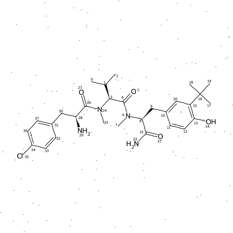 CC(C)[C@@H](C(=O)N(C)[C@@H](Cc1ccc(O)c(C(C)(C)C)c1)C(N)=O)N(C)C(=O)[C@@H](N)Cc1ccc(Cl)cc1